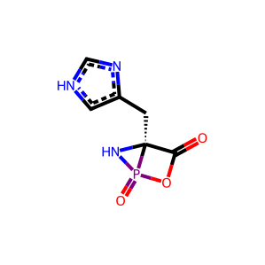 O=C1OP2(=O)N[C@@]12Cc1c[nH]cn1